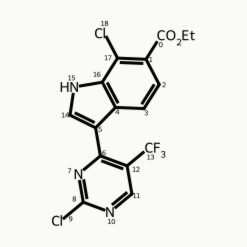 CCOC(=O)c1ccc2c(-c3nc(Cl)ncc3C(F)(F)F)c[nH]c2c1Cl